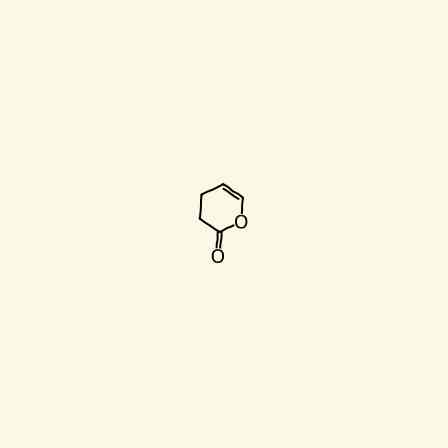 O=C1CCC=CO1